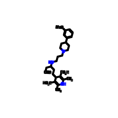 COc1cccc(C2CCN(CCCNC(CC=O)CCC3C(C(=O)O)=C(C)NC(C)=C3C(=O)O)CC2)c1